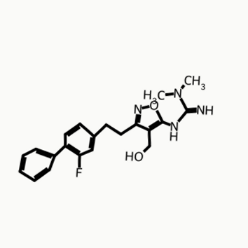 CN(C)C(=N)Nc1onc(CCc2ccc(-c3ccccc3)c(F)c2)c1CO